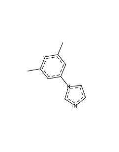 Cc1[c]c(C)cc(-n2ccnc2)c1